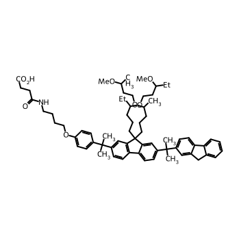 CCC(CCOC(CC)CCCC1(CCCC(C)OCCC(C)OC)c2cc(C(C)(C)c3ccc(OCCCCNC(=O)CCC(=O)O)cc3)ccc2-c2ccc(C(C)(C)c3ccc4c(c3)Cc3ccccc3-4)cc21)OC